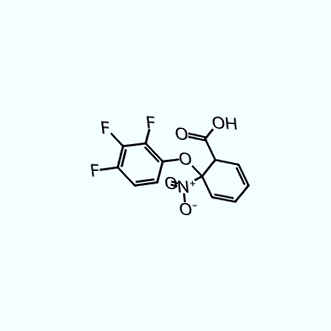 O=C(O)C1C=CC=CC1(Oc1ccc(F)c(F)c1F)[N+](=O)[O-]